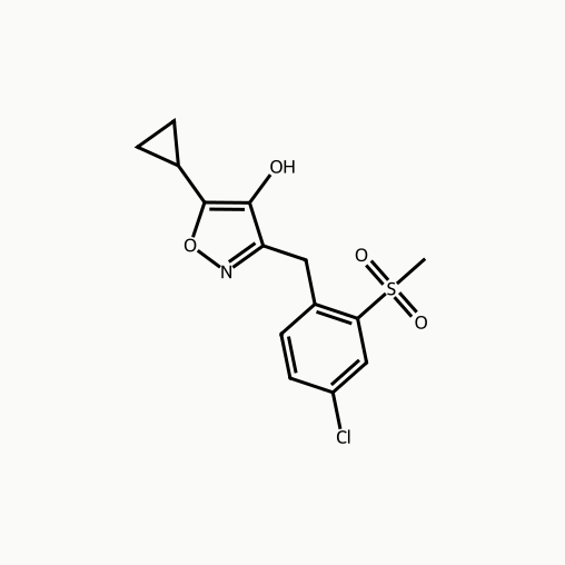 CS(=O)(=O)c1cc(Cl)ccc1Cc1noc(C2CC2)c1O